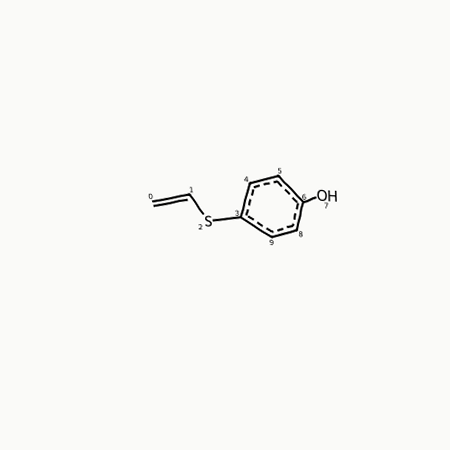 C=CSc1ccc(O)cc1